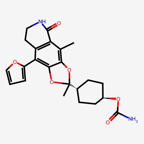 Cc1c2c(c(-c3ccco3)c3c1C(=O)NCC3)OC(C)([C@H]1CC[C@H](OC(N)=O)CC1)O2